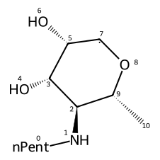 CCCCCN[C@H]1[C@H](O)[C@H](O)[CH]O[C@@H]1C